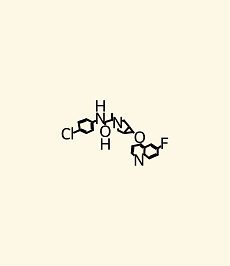 CC(C(O)Nc1ccc(Cl)cc1)N1CC2C(C1)C2Oc1ccnc2ccc(F)cc12